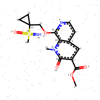 COC(=O)c1cc2ccnc(OCC3(S(C)(=N)=O)CC3)c2n(C)c1=O